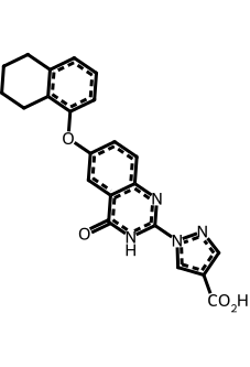 O=C(O)c1cnn(-c2nc3ccc(Oc4cccc5c4CCCC5)cc3c(=O)[nH]2)c1